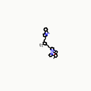 CCc1cc(CCc2ccc3[n+](c2)Cc2ccccc2-3)cc(CCc2ccc3[n+](c2)C([n+]2cc(C)ccc2-c2ccccc2C)c2ccccc2-3)c1